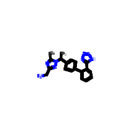 CCCCc1nc(CN)nn1C(C)c1ccc(-c2ccccc2-c2nnn[nH]2)cc1